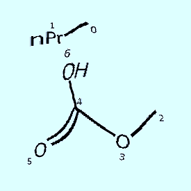 CCCC.COC(=O)O